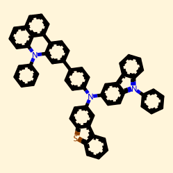 c1ccc(N2c3cc(-c4ccc(N(c5ccc6sc7ccccc7c6c5)c5ccc6c(c5)c5ccccc5n6-c5ccccc5)cc4)ccc3-c3cccc4cccc2c34)cc1